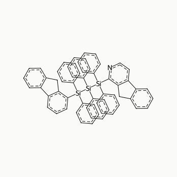 c1ccc([Si](c2ccccc2)(c2cccc3c2Cc2ccccc2-3)[Si](c2ccccc2)(c2ccccc2)[Si](c2ccccc2)(c2ccccc2)c2nccc3c2Cc2ccccc2-3)cc1